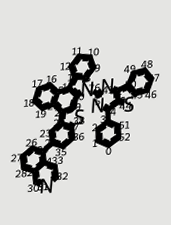 c1ccc(-c2nc(-n3c4ccccc4c4c5ccccc5c5c6cc(-c7cccc8cnccc78)ccc6sc5c43)nc3c2sc2ccccc23)cc1